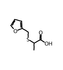 CC(SCc1ccco1)C(=O)O